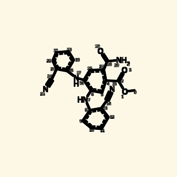 COC(=O)c1cc(Nc2ccccc2C#N)c(Nc2ccccc2C#N)cc1C(N)=O